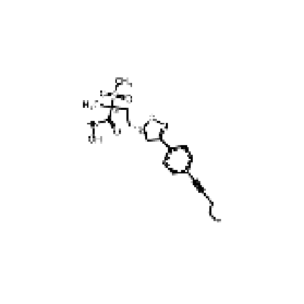 C[C@@](CC[C@H]1CC(c2ccc(C#CCCF)cc2)=NO1)(C(=O)NO)S(C)(=O)=O